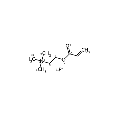 C=CC(=O)OCC[N+](C)(C)C.[F-]